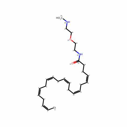 CC/C=C\C/C=C\C/C=C\C/C=C\C/C=C\C/C=C\CCC(=O)NCCOCCNC(=O)O